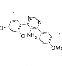 COc1ccc(-c2ncnc(-c3ccc(Cl)cc3Cl)c2N)cc1